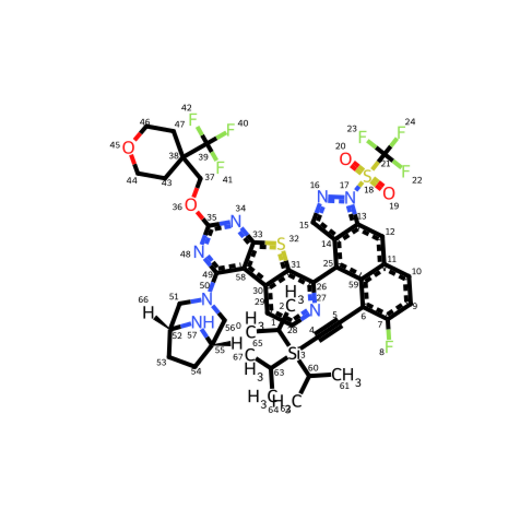 CC(C)[Si](C#Cc1c(F)ccc2cc3c(cnn3S(=O)(=O)C(F)(F)F)c(-c3nccc4c3sc3nc(OCC5(C(F)(F)F)CCOCC5)nc(N5C[C@H]6CC[C@@H](C5)N6)c34)c12)(C(C)C)C(C)C